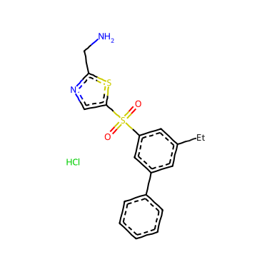 CCc1cc(-c2ccccc2)cc(S(=O)(=O)c2cnc(CN)s2)c1.Cl